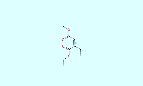 CCOC(=O)/C=C(/CC)C(=O)OCC